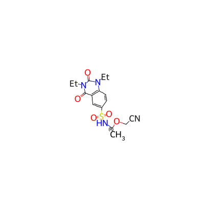 CCn1c(=O)c2cc(S(=O)(=O)N[C@@H](C)OCC#N)ccc2n(CC)c1=O